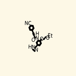 CCOCCOc1ccc(-c2ncc[nH]2)cc1NC(=O)C#Cc1ccc(C#N)cc1